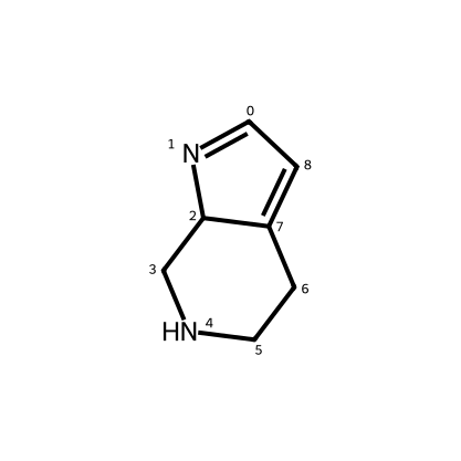 C1=NC2CNCCC2=C1